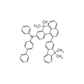 CC1(C)c2ccccc2-c2ccc(-c3ccc4cccc5c4c3-c3ccc(N(c4ccccc4)c4ccc(-c6ccccc6)cc4)cc3C5(C)C)cc21